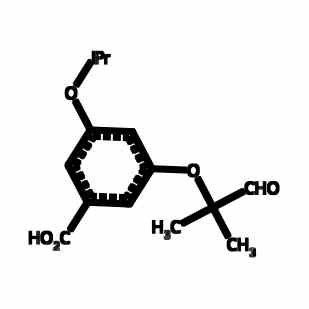 CC(C)Oc1cc(OC(C)(C)C=O)cc(C(=O)O)c1